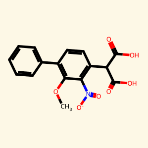 COc1c(-c2ccccc2)ccc(C(C(=O)O)C(=O)O)c1[N+](=O)[O-]